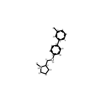 Cc1cccc(-c2ccc(OCC3CCCN3C)cc2)c1